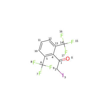 O=C(CI)c1c(C(F)(F)F)cccc1C(F)(F)F